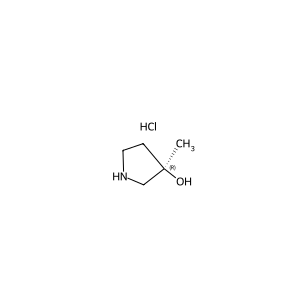 C[C@@]1(O)CCNC1.Cl